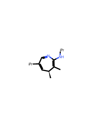 CC1=C(NC(C)C)N=CC(C(C)C)=C[C@@H]1C